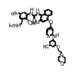 COc1c(CNC(C)=O)cc(C(C)(C)C)cc1NC(=O)Nc1ccc(Oc2ccnc(Nc3cc(C#N)cc(OCCN4CCOCC4)c3)c2)c2ccccc12